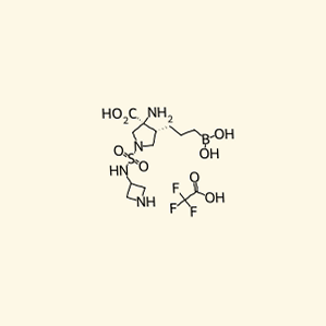 N[C@]1(C(=O)O)CN(S(=O)(=O)NC2CNC2)C[C@H]1CCCB(O)O.O=C(O)C(F)(F)F